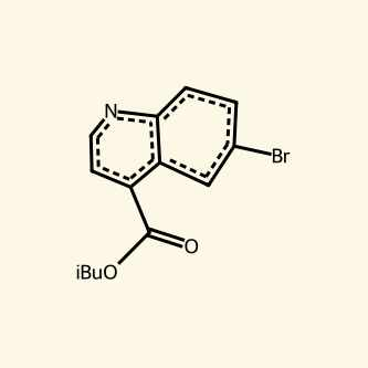 CC(C)COC(=O)c1ccnc2ccc(Br)cc12